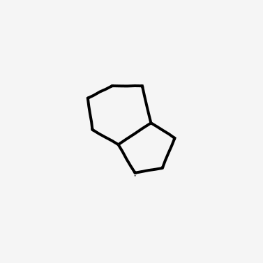 [CH]1CCC2CCCCC12